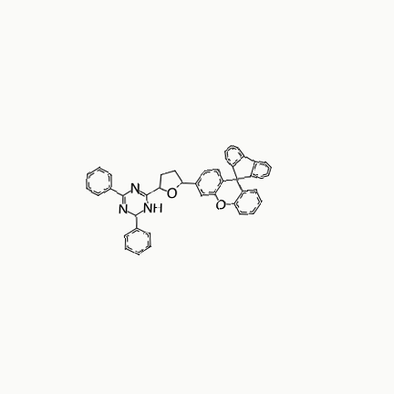 c1ccc(C2=NC(c3ccccc3)NC(C3CCC(c4ccc5c(c4)Oc4ccccc4C54c5ccccc5-c5ccccc54)O3)=N2)cc1